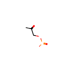 CC(C)C(=O)CO[PH](=O)O